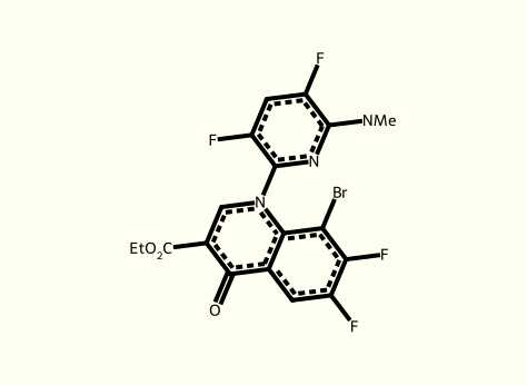 CCOC(=O)c1cn(-c2nc(NC)c(F)cc2F)c2c(Br)c(F)c(F)cc2c1=O